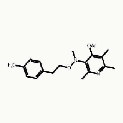 CC(=O)Oc1c(C)c(C)nc(C)c1N(C)OCCc1ccc(C(F)(F)F)cc1